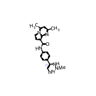 CCC/C=C(\NNC)c1ccc(NC(=O)c2ccn3c(C)cc(C)nc23)cc1